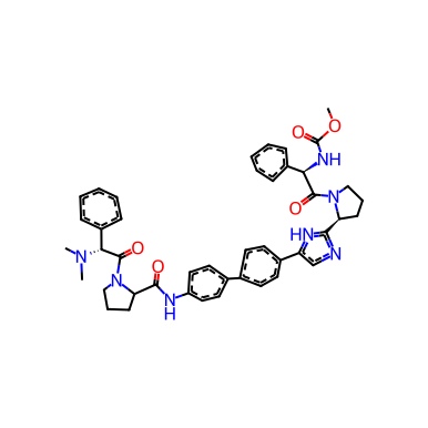 COC(=O)N[C@@H](C(=O)N1CCC[C@H]1c1ncc(-c2ccc(-c3ccc(NC(=O)C4CCCN4C(=O)[C@@H](c4ccccc4)N(C)C)cc3)cc2)[nH]1)c1ccccc1